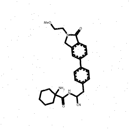 COCCN1Cc2cc(-c3ccc(CC(C#N)NC(=O)C4(N)CCCCC4)cc3)ccc2C1=O